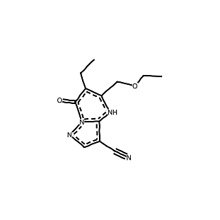 CCOCc1[nH]c2c(C#N)cnn2c(=O)c1CC